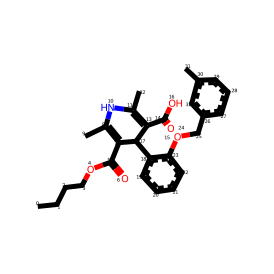 CCCCOC(=O)C1=C(C)NC(C)=C(C(=O)O)C1c1ccccc1OCc1cccc(C)c1